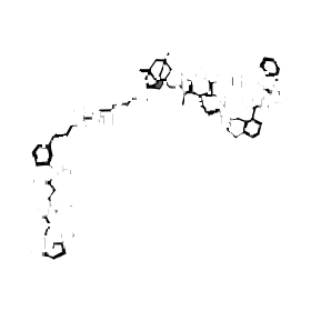 Cc1c(-c2ccc(N3CCc4cccc(C(=O)Nc5nc6ccccc6s5)c4C3)nc2C(=O)O)cnn1CC12CC3(C)CC(C)(C1)CC(OCCOCCNC(=O)OC/C=C/c1cc[c]c(NC(=O)CCNC(=O)CCN4C(=O)C=CC4=O)c1)(C3)C2